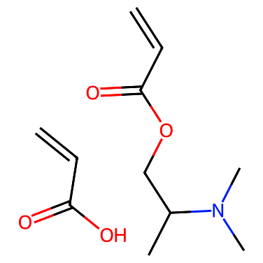 C=CC(=O)O.C=CC(=O)OCC(C)N(C)C